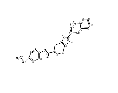 COc1ccc(OC(=O)N2CCc3nc(C(=O)Nc4ccccc4N)sc3C2)cc1